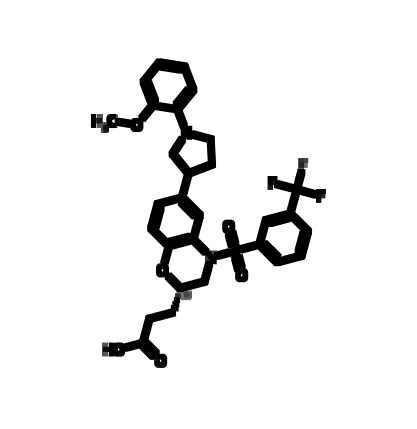 COc1ccccc1N1CCC(c2ccc3c(c2)N(S(=O)(=O)c2cccc(C(F)(F)F)c2)C[C@H](CCC(=O)O)O3)C1